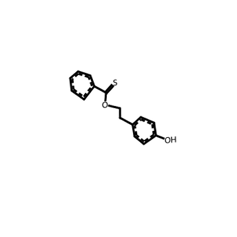 Oc1ccc(CCOC(=S)c2ccccc2)cc1